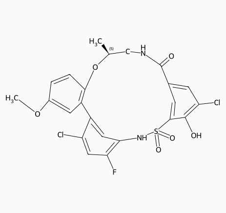 COc1ccc2c(c1)-c1cc(c(F)cc1Cl)NS(=O)(=O)c1cc(cc(Cl)c1O)C(=O)NC[C@H](C)O2